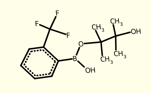 CC(C)(O)C(C)(C)OB(O)c1ccccc1C(F)(F)F